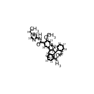 CCc1c(C(OI)(c2ccccc2C)c2ccccc2F)nn2cc(OC)c(C(=O)Nc3ncn(CC)n3)cc12